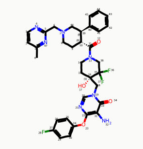 Cc1ccnc(CN2CC[C@@H](C(=O)N3CC[C@](O)(Cn4cnc(Oc5ccc(F)cc5)c(N)c4=O)C(F)(F)C3)[C@H](c3ccccc3)C2)n1